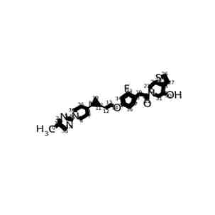 Cc1cnc(N2CCC([C@H]3C[C@H]3CCOc3ccc(CC(=O)N4Cc5sccc5C(O)C4)c(F)c3)CC2)nc1